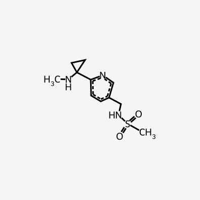 CNC1(c2ccc(CNS(C)(=O)=O)cn2)CC1